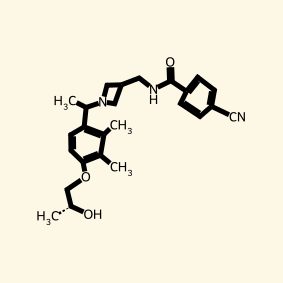 Cc1c(OC[C@@H](C)O)ccc(C(C)N2CC(CNC(=O)c3ccc(C#N)cc3)C2)c1C